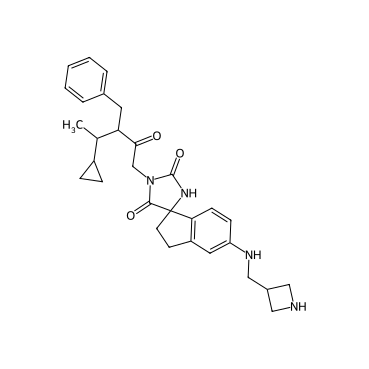 CC(C1CC1)C(Cc1ccccc1)C(=O)CN1C(=O)NC2(CCc3cc(NCC4CNC4)ccc32)C1=O